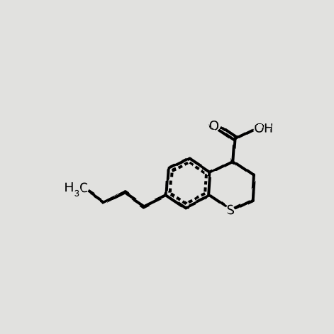 CCCCc1ccc2c(c1)SCCC2C(=O)O